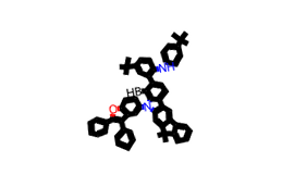 CC(C)(C)c1ccc(Nc2ccc(C(C)(C)C)cc2-c2ccc3c4cc5c(cc4n4c3c2Bc2cc3oc(-c6ccccc6)c(-c6ccccc6)c3cc2-4)C(C)(C)c2ccccc2-5)cc1